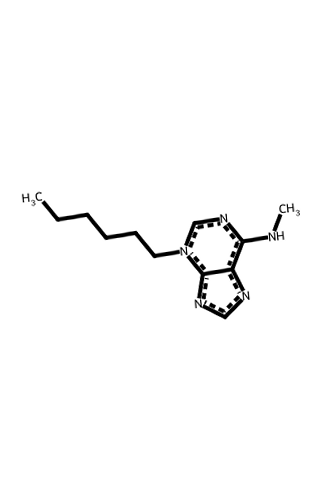 CCCCCCn1cnc(NC)c2ncnc1-2